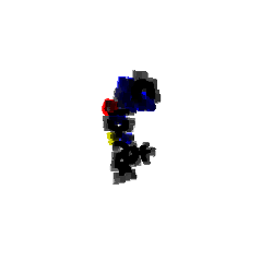 CC(C)(C)c1cc(-c2csc(C3CCN(C(=O)Cn4cnc5cccnc54)CC3)n2)c2c(c1)C(C)(C)CC2